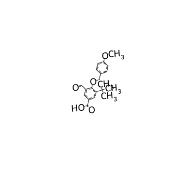 COc1ccc(COc2c(C=O)cc(C(=O)O)cc2C(C)(C)C)cc1